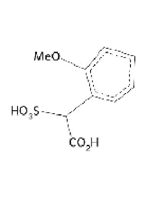 COc1ccccc1C(C(=O)O)S(=O)(=O)O